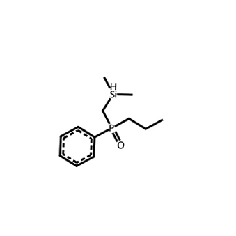 CCCP(=O)(C[SiH](C)C)c1ccccc1